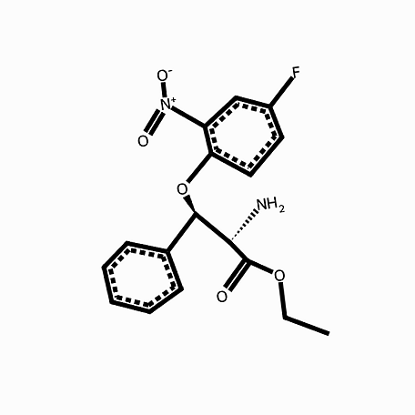 CCOC(=O)[C@@H](N)[C@H](Oc1ccc(F)cc1[N+](=O)[O-])c1ccccc1